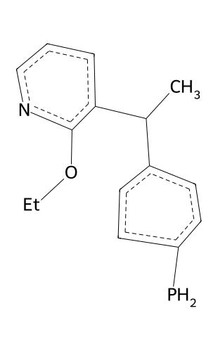 CCOc1ncccc1C(C)c1ccc(P)cc1